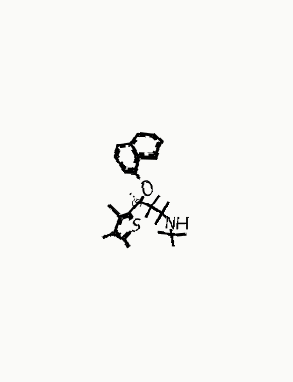 Cc1sc([C@@](C)(Oc2cccc3ccccc23)C(C)(C)C(C)(C)NC(C)(C)C)c(C)c1C